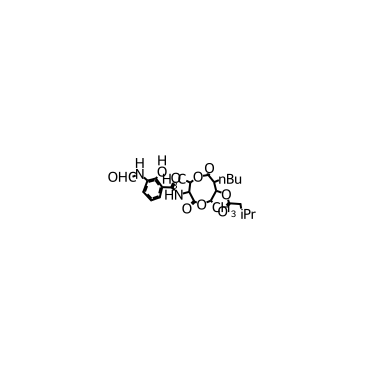 CCCCC1C(=O)OC(C)C(NC(=O)c2cccc(NC=O)c2O)C(=O)OC(C)C1OC(=O)CC(C)C